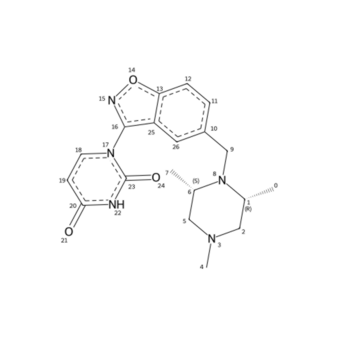 C[C@@H]1CN(C)C[C@H](C)N1Cc1ccc2onc(-n3ccc(=O)[nH]c3=O)c2c1